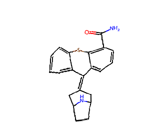 NC(=O)c1cccc2c1Sc1ccccc1C2=C1CC2CCC(C1)N2